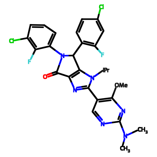 COc1nc(N(C)C)ncc1-c1nc2c(n1C(C)C)C(c1ccc(Cl)cc1F)N(c1cccc(Cl)c1F)C2=O